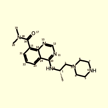 C[C@@H](CN1CCNCC1)Nc1ncnc2c(C(=O)N(C)C)cccc12